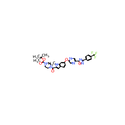 Cn1c(C(=O)N2CCN(C(=O)OC(C)(C)C)CC2)cc2ccc(Oc3cnc(-c4nc(-c5ccc(C(F)(F)F)cc5)no4)cn3)cc21